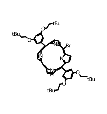 CC(C)(C)CCOc1cc(OCCC(C)(C)C)cc(-c2c3nc(c(Br)c4ccc([nH]4)c(-c4cc(OCCC(C)(C)C)cc(OCCC(C)(C)C)c4)c4nc(cc5ccc2[nH]5)C=C4)C=C3)c1